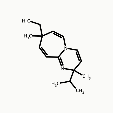 CCC1(C)C=CC2=NC(C)(C(C)C)C=CN2C=C1